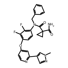 Cn1cc(-c2cc(Oc3ccc(N(Cc4ccccc4)C(=O)C4(C(N)=O)CC4)c(F)c3F)ccn2)cn1